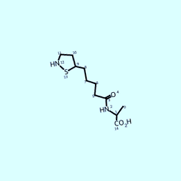 CC(NC(=O)CCCCC1CCNS1)C(=O)O